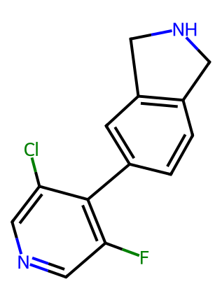 Fc1cncc(Cl)c1-c1ccc2c(c1)CNC2